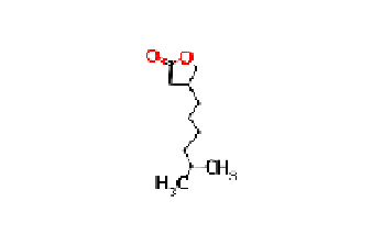 CC(C)CCCCC1COC(=O)C1